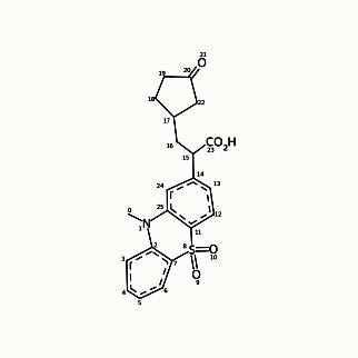 CN1c2ccccc2S(=O)(=O)c2ccc(C(CC3CCC(=O)C3)C(=O)O)cc21